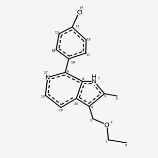 CCOCc1c(C)[nH]c2c(-c3ccc(Cl)cc3)nccc12